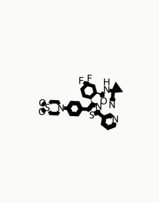 N#CC1(NC(=O)[C@@H]2CC(F)(F)CC[C@H]2c2nc(-c3cccnc3)sc2-c2ccc(N3CCS(=O)(=O)CC3)cc2)CC1